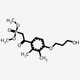 COP(=O)(CC(=O)c1ccc(OCCCO)c(C)c1C)OC